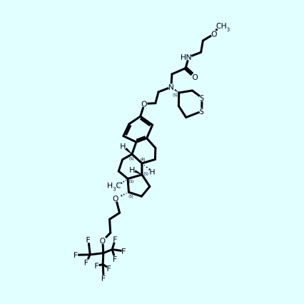 COCCNC(=O)CN(CCOc1ccc2c(c1)CC[C@@H]1[C@@H]2CC[C@]2(C)[C@@H](OCCCOC(C(F)(F)F)(C(F)(F)F)C(F)(F)F)CC[C@@H]12)[C@H]1CCSSC1